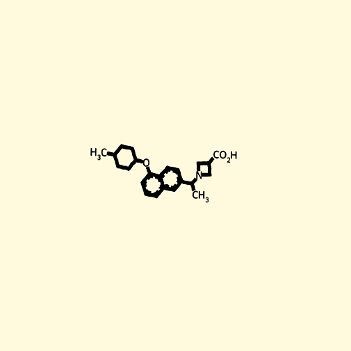 CC1CCC(Oc2cccc3cc(C(C)N4CC(C(=O)O)C4)ccc23)CC1